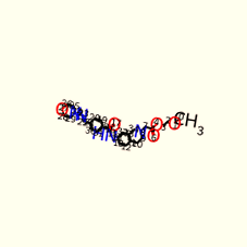 COCCOC(=O)CN1CCc2ccc(NC(=O)c3ccc(C=NN4CCOCC4)cc3)cc2C1